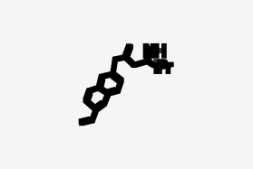 C=Cc1ccc2cc(CC(=C)CC(=N)C(C)C)ccc2c1